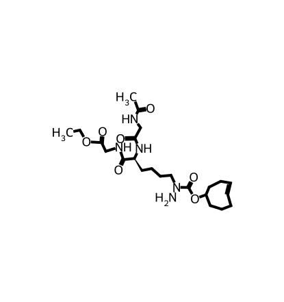 CCOC(=O)CNC(=O)[C@H](CCCCN(N)C(=O)OC1CC/C=C/CCC1)NC(=O)CNC(C)=O